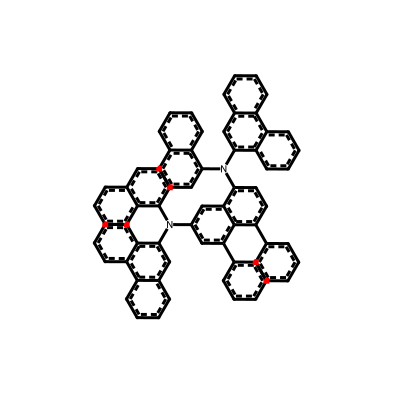 c1ccc(-c2ccc(N(c3cccc4ccccc34)c3cc4ccccc4c4ccccc34)c3cc(N(c4cccc5ccccc45)c4cc5ccccc5c5ccccc45)cc(-c4ccccc4)c23)cc1